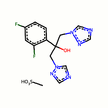 CS(=O)(=O)O.OC(Cn1cncn1)(Cn1cncn1)c1ccc(F)cc1F